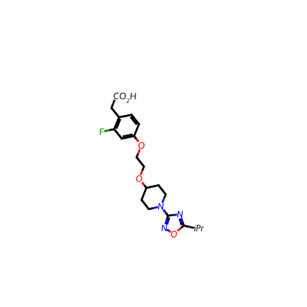 CC(C)c1nc(N2CCC(OCCOc3ccc(CC(=O)O)c(F)c3)CC2)no1